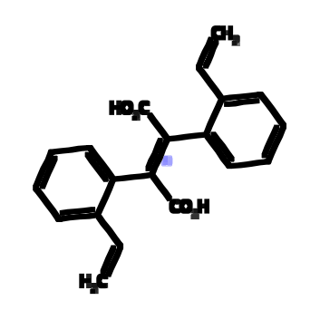 C=Cc1ccccc1/C(C(=O)O)=C(\C(=O)O)c1ccccc1C=C